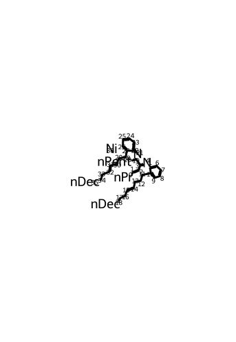 CCCC=CC(=Nc1ccccc1CCCC=CCCCCCCCCCCCC)C(CCCCC)=Nc1ccccc1CCCC=CCCCCCCCCCCCC.[Ni]